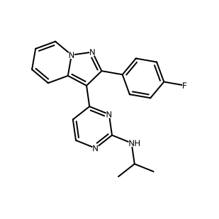 CC(C)Nc1nccc(-c2c(-c3ccc(F)cc3)nn3ccccc23)n1